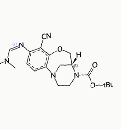 CN(C)/C=N\c1ccc2c(c1C#N)OC[C@H]1CN2CCN1C(=O)OC(C)(C)C